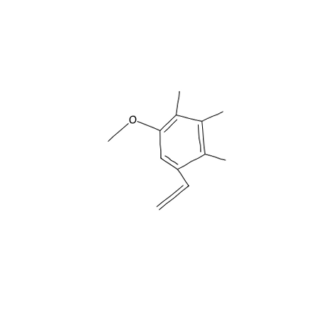 C=Cc1cc(OC)c(C)c(C)c1C